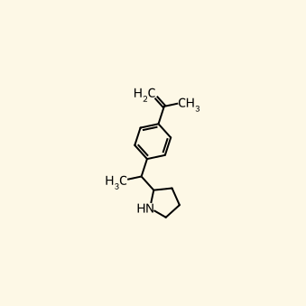 C=C(C)c1ccc(C(C)C2CCCN2)cc1